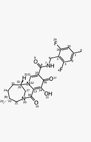 Cc1cc(F)c(CNC(=O)c2cn3c(c(O)c2=O)C(=O)N2C[C@H](C)CC[C@H]3C2)c(F)c1